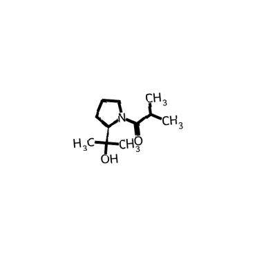 CC(C)C(=O)N1CCC[C@@H]1C(C)(C)O